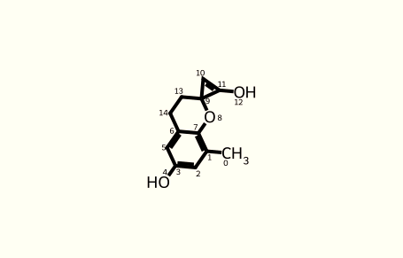 Cc1cc(O)cc2c1OC1(C=C1O)CC2